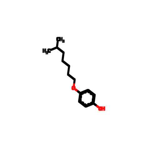 CC(C)CCCCCOc1ccc(O)cc1